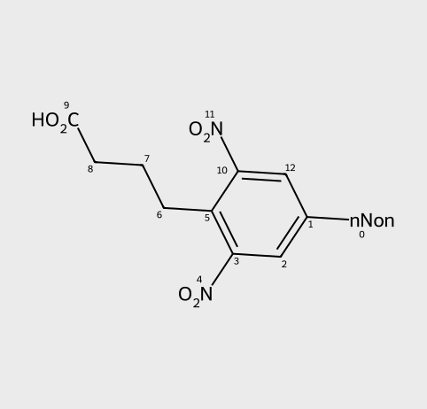 CCCCCCCCCc1cc([N+](=O)[O-])c(CCCC(=O)O)c([N+](=O)[O-])c1